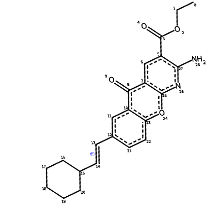 CCOC(=O)c1cc2c(=O)c3cc(/C=C/C4CCCCC4)ccc3oc2nc1N